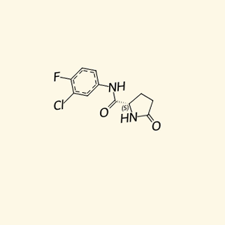 O=C1CC[C@@H](C(=O)Nc2ccc(F)c(Cl)c2)N1